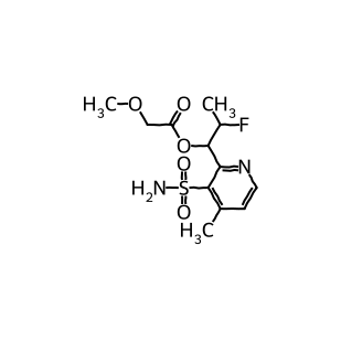 COCC(=O)OC(c1nccc(C)c1S(N)(=O)=O)C(C)F